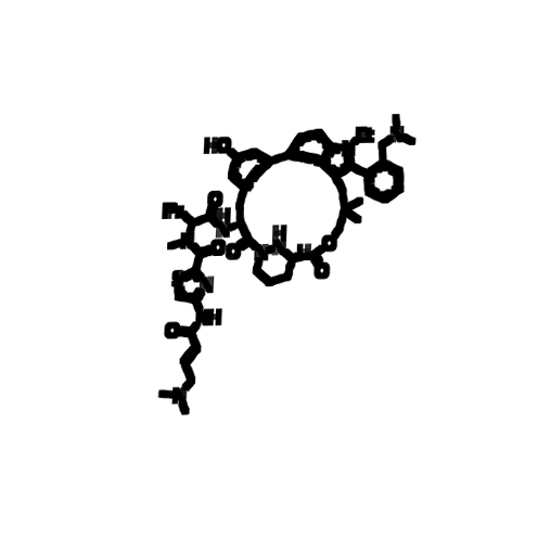 CCn1c(-c2ccccc2CN(C)C)c2c3cc(ccc31)-c1cc(O)cc(c1)C[C@H](NC(=O)C(C(C)C)N(C)C(=O)c1nc(NC(=O)/C=C/CN(C)C)cs1)C(=O)N1CCC[C@H](N1)C(=O)OCC(C)(C)C2